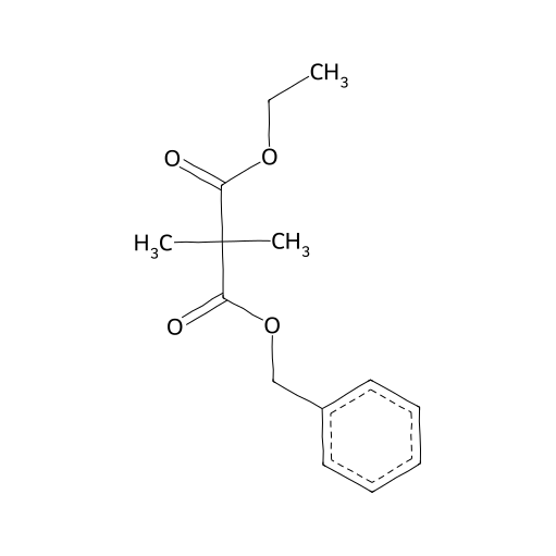 CCOC(=O)C(C)(C)C(=O)OCc1ccccc1